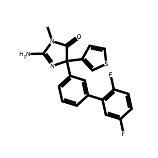 CN1C(=O)C(c2ccsc2)(c2cccc(-c3cc(F)ccc3F)c2)N=C1N